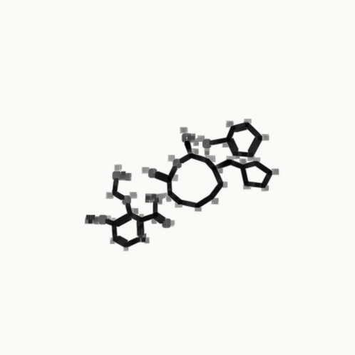 COc1ccnc(C(=O)N[C@H]2CCCC[C@H](CC3CCCC3)[C@@H](Oc3ccccc3)[C@H](C)OC2=O)c1OCOC(C)=O